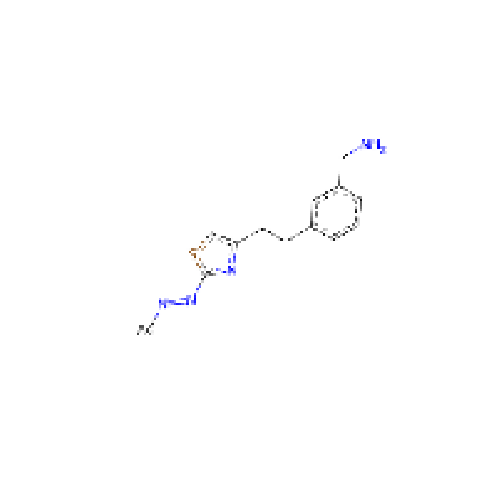 CC(=O)N=Nc1nc(CCc2cccc(CN)c2)cs1